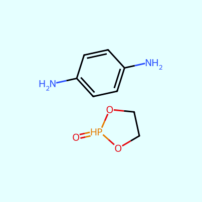 Nc1ccc(N)cc1.O=[PH]1OCCO1